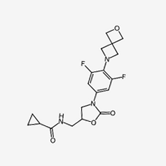 O=C(NCC1CN(c2cc(F)c(N3CC4(COC4)C3)c(F)c2)C(=O)O1)C1CC1